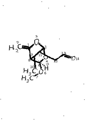 C=C1OC2OC(OC)C1[C@H](C)C2CC=O